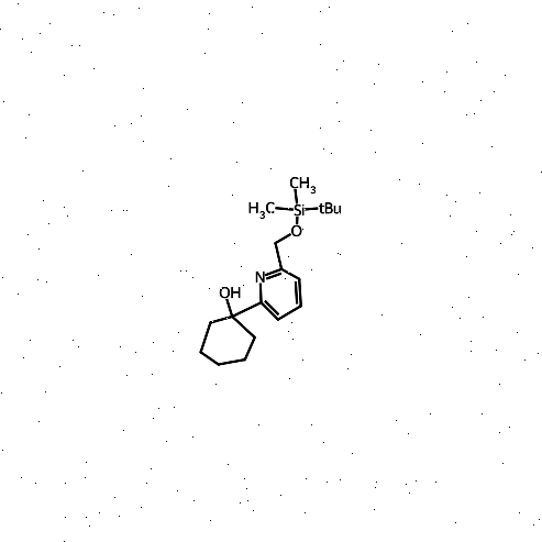 CC(C)(C)[Si](C)(C)OCc1cccc(C2(O)CCCCC2)n1